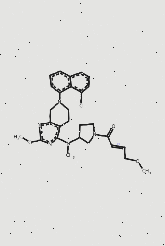 COC/C=C/C(=O)N1CCC(N(C)c2nc(OC)nc3c2CCN(c2cccc4cccc(Cl)c24)C3)C1